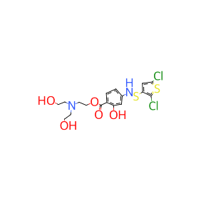 O=C(OCCN(CCO)CCO)c1ccc(NSc2cc(Cl)sc2Cl)cc1O